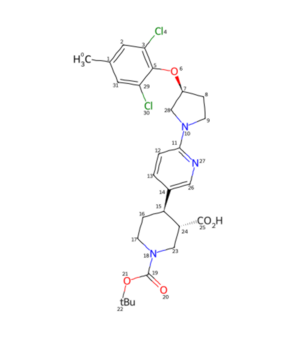 Cc1cc(Cl)c(O[C@H]2CCN(c3ccc([C@@H]4CCN(C(=O)OC(C)(C)C)C[C@H]4C(=O)O)cn3)C2)c(Cl)c1